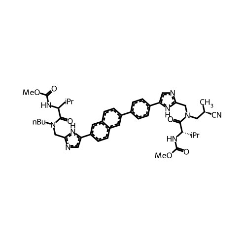 CCCCN(Cc1ncc(-c2ccc3cc(-c4ccc(-c5cnc(CN(C[C@@H](C)C#N)C(=O)[C@@H](NC(=O)OC)C(C)C)[nH]5)cc4)ccc3c2)[nH]1)C(=O)C(NC(=O)OC)C(C)C